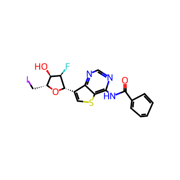 O=C(Nc1ncnc2c([C@@H]3O[C@H](CI)[C@@H](O)[C@H]3F)csc12)c1ccccc1